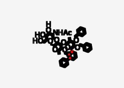 CC(=O)NC1[C@H](OC2[C@H](C)OC(C)[C@H](OCc3ccccc3)[C@@H]2O[C@H]2O[C@@H](COCc3ccccc3)[C@@H](OCc3ccccc3)C(OCc3ccccc3)C2C)OC(CO)[C@@H](O)[C@@H]1O